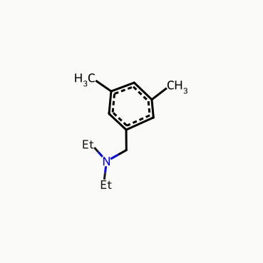 CCN(CC)Cc1cc(C)cc(C)c1